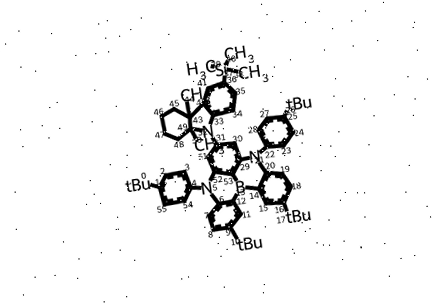 CC(C)(C)c1ccc(N2c3ccc(C(C)(C)C)cc3B3c4cc(C(C)(C)C)ccc4N(c4ccc(C(C)(C)C)cc4)c4cc(N5c6ccc([Si](C)(C)C)cc6C6(C)CCCCC56C)cc2c43)cc1